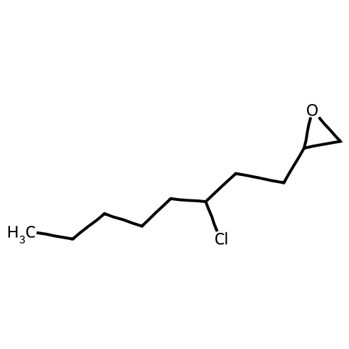 CCCCCC(Cl)CCC1CO1